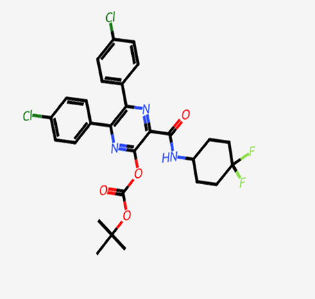 CC(C)(C)OC(=O)Oc1nc(-c2ccc(Cl)cc2)c(-c2ccc(Cl)cc2)nc1C(=O)NC1CCC(F)(F)CC1